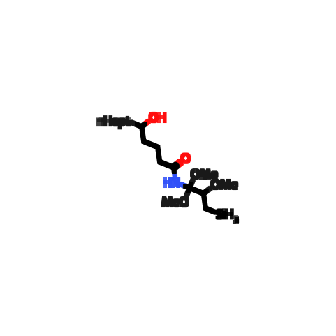 CCCCCCCC(O)CCCC(=O)NC(OC)(OC)C(C[SiH3])OC